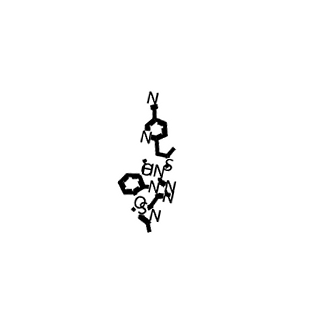 COc1cccc(OC)c1-n1c(NSC(C)Cc2ccc(C#N)cn2)nnc1-c1nc(C)cs1